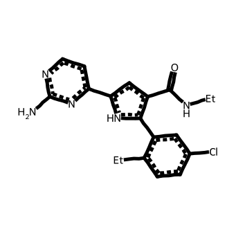 CCNC(=O)c1cc(-c2ccnc(N)n2)[nH]c1-c1cc(Cl)ccc1CC